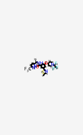 Cc1cnc(-c2cc(OC3CCN(C(F)C(F)F)CC3)cc(C(=O)N[C@H](C)c3ccc(C(F)(F)F)nn3)c2)s1